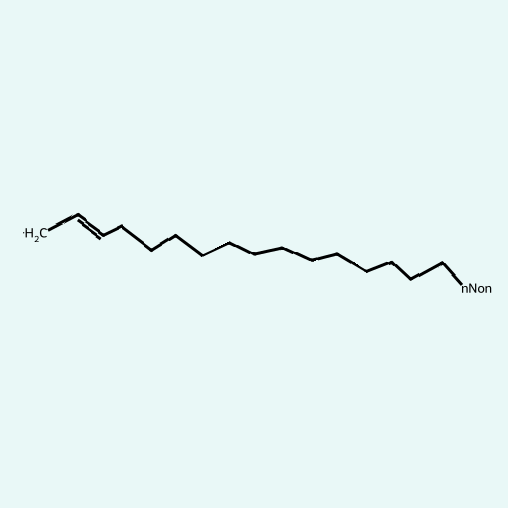 [CH2]/C=C/CCCCCCCCCCCCCCCCCCCCC[CH2]